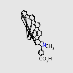 CN1CC2c3c4ccc5c6ccc7c8ccc9c%10ccc%11c(c%12c3c3c4c5c4c6c7c5c8c9c6c%10c%11c%12c7c3c4c5c67)C2C1c1ccc(C(=O)O)cc1